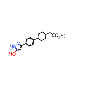 CCOC(=O)CC1CCC(c2ccc(-c3cc(O)[nH]n3)cc2)CC1